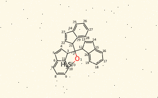 [SiH3]OC(C1C=Cc2ccccc21)(C1C=Cc2ccccc21)C1C=Cc2ccccc21